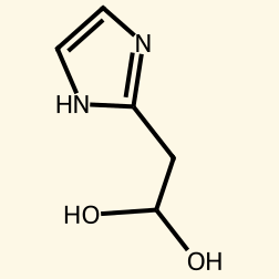 OC(O)Cc1ncc[nH]1